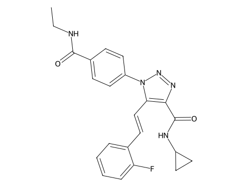 CCNC(=O)c1ccc(-n2nnc(C(=O)NC3CC3)c2C=Cc2ccccc2F)cc1